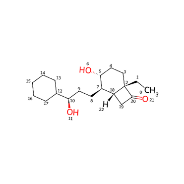 CC[C@]12CC[C@@H](O)[C@H](CC[C@@H](O)C3CCCCC3)[C@H]1CC2=O